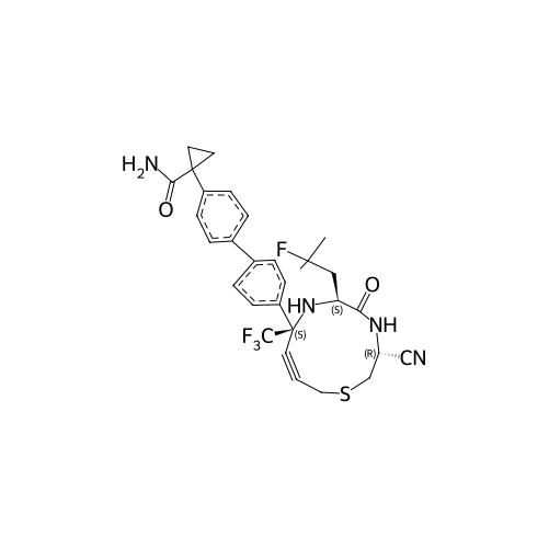 CC(C)(F)C[C@@H]1N[C@](c2ccc(-c3ccc(C4(C(N)=O)CC4)cc3)cc2)(C(F)(F)F)C#CCSC[C@@H](C#N)NC1=O